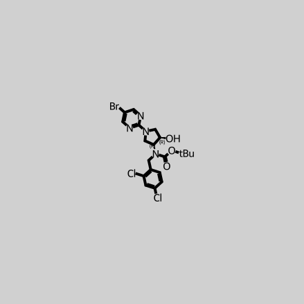 CC(C)(C)OC(=O)N(Cc1ccc(Cl)cc1Cl)[C@@H]1CN(c2ncc(Br)cn2)C[C@H]1O